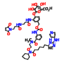 CN(CCON(C(=O)CCCCCCN/C(=N\C#N)Nc1ccncc1)C1CCCCC1)C(=O)c1cccc(NC(=O)OCc2ccc(O[C@@H]3O[C@H](C(=O)O)[C@@H](O)[C@H](O)[C@H]3O)c(NC(=O)CCNC(=O)CCN3C(=O)C=CC3=O)c2)c1